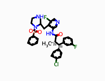 C[C@H](C(=O)Nc1cncc(F)c1CC1CNCCN1S(=O)(=O)c1ccccc1)[C@@H](c1ccc(Cl)cc1)c1cccc(F)c1